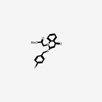 COC(=O)Cn1c(SCc2ccc(F)cc2)cc(=O)c2ccccc21